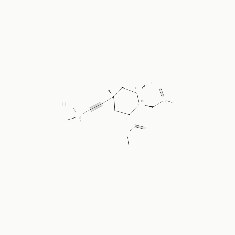 COC(=O)[C@@H]1C[C@](O)(C#C[Si](C)(C)C)C[C@@H](O)[C@H]1C[N+](=O)[O-]